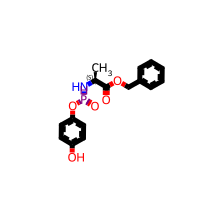 C[C@H](N[PH](=O)Oc1ccc(O)cc1)C(=O)OCc1ccccc1